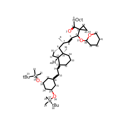 CCCCCCCCC(=O)C1(C(/C=C/[C@@H](C)[C@H]2CC[C@H]3/C(=C/C=C4C[C@@H](O[Si](C)(C)C(C)(C)C)C[C@H](O[Si](C)(C)C(C)(C)C)C4)CCC[C@]23C)OC2CCCCO2)CC1